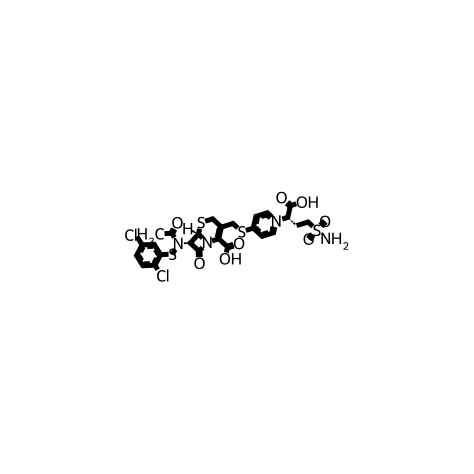 CC(=O)N(Sc1cc(Cl)ccc1Cl)[C@H]1C(=O)N2C(C(=O)O)=C(CSc3cc[n+]([C@@H](CCS(N)(=O)=O)C(=O)O)cc3)CS[C@H]12